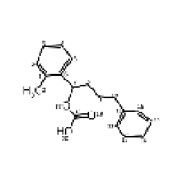 Cc1ccccc1C(CCCc1ccccc1)OC(=O)O